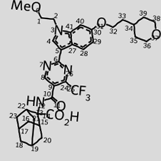 COCCn1cc(-c2ncc(C(=O)NC3(C(=O)O)C4CC5CC(C4)CC3C5)c(C(F)(F)F)n2)c2ccc(OCCC3CCOCC3)cc21